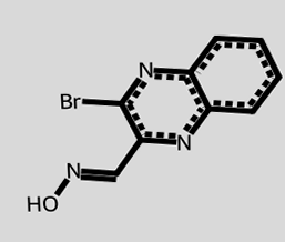 O/N=C/c1nc2ccccc2nc1Br